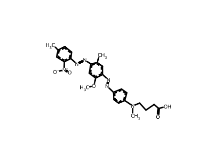 COc1cc(N=Nc2ccc(C)cc2[N+](=O)[O-])c(C)cc1N=Nc1ccc(N(C)CCCC(=O)O)cc1